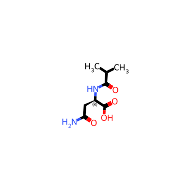 CC(C)C(=O)N[C@H](CC(N)=O)C(=O)O